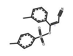 Cc1ccc(S(=O)(=O)O/C(=C/C#N)c2cccc(C)c2)cc1